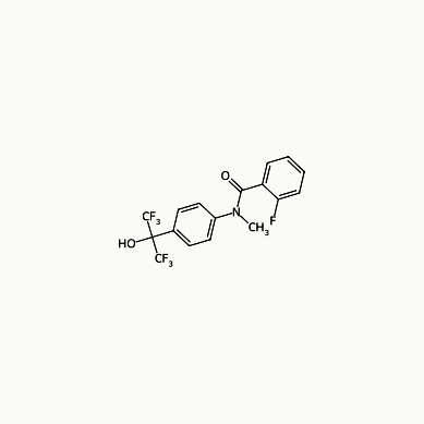 CN(C(=O)c1ccccc1F)c1ccc(C(O)(C(F)(F)F)C(F)(F)F)cc1